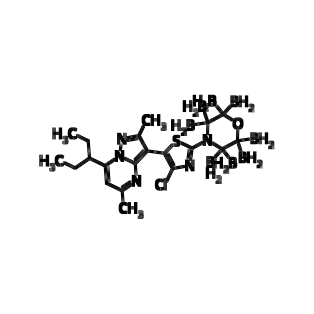 BC1(B)OC(B)(B)C(B)(B)N(c2nc(Cl)c(-c3c(C)nn4c(C(CC)CC)cc(C)nc34)s2)C1(B)B